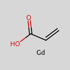 C=CC(=O)O.[Gd]